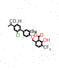 CC(C(=O)O)c1ccc(-c2ccc(OCc3ccc(C(F)(F)F)c(O)c3C(=O)OC(C)(C)C)cc2)c(Cl)c1